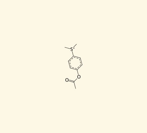 CC(=O)Oc1ccc([S+](C)C)cc1